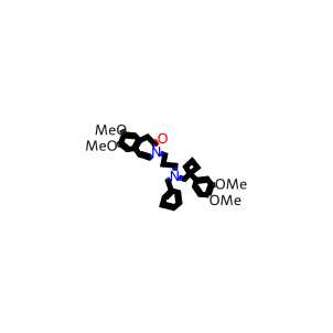 COc1ccc(C2(CN(CCCN3C=Cc4cc(OC)c(OC)cc4CC3=O)Cc3ccccc3)CCC2)cc1OC